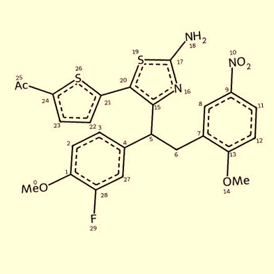 COc1ccc(C(Cc2cc([N+](=O)[O-])ccc2OC)c2nc(N)sc2-c2ccc(C(C)=O)s2)cc1F